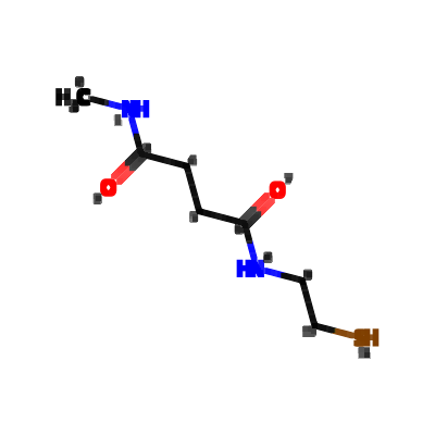 CNC(=O)CCC(=O)NCCS